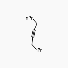 [CH2]C(C)CC#CCCCC